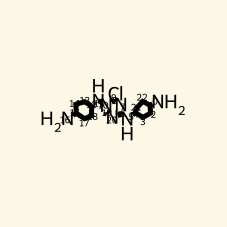 NC1CCC(NC2=NC(Cl)N(NC3CCC(N)CC3)C=N2)CC1